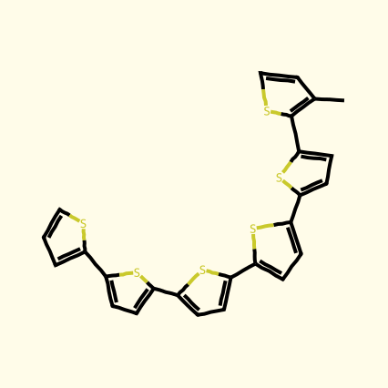 Cc1ccsc1-c1ccc(-c2ccc(-c3ccc(-c4ccc(-c5cccs5)s4)s3)s2)s1